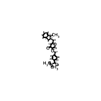 C[C@@H]1c2ccccc2CN1Cc1cc(=O)c(OCc2ccc(C(=O)N(C)C)cc2)co1